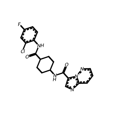 O=C(NC1CCC(C(=O)Nc2ccc(F)cc2Cl)CC1)c1cnc2cccnn12